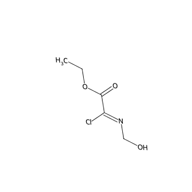 CCOC(=O)/C(Cl)=N/CO